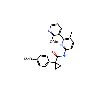 COc1ccc(C2(C(=O)Nc3ccc(C)c(-c4cccnc4OC)n3)CC2)cc1